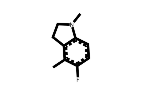 Cc1c(F)ccc2c1CCN2C